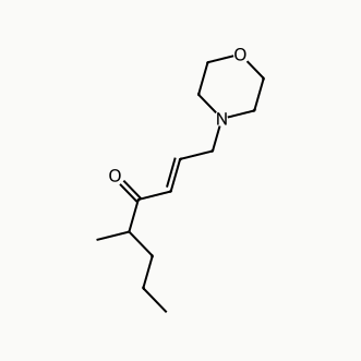 CCCC(C)C(=O)/C=C/CN1CCOCC1